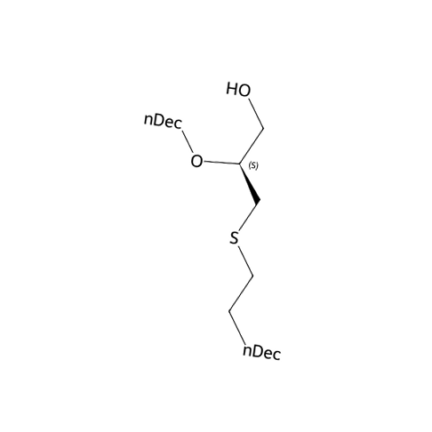 CCCCCCCCCCCCSC[C@H](CO)OCCCCCCCCCC